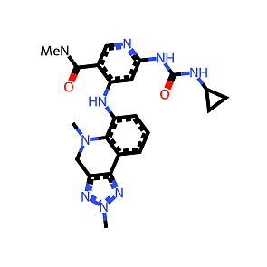 CNC(=O)c1cnc(NC(=O)NC2CC2)cc1Nc1cccc2c1N(C)Cc1nn(C)nc1-2